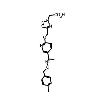 C/C(=N\OCc1ccc(C)cc1)c1ccc(OCc2nnn(CC(=O)O)n2)nc1